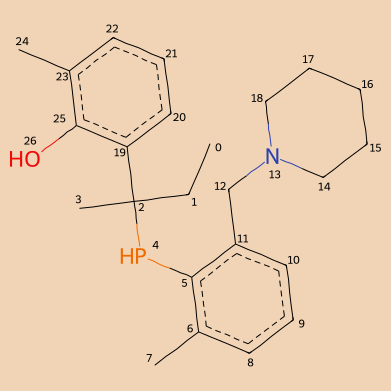 CCC(C)(Pc1c(C)cccc1CN1CCCCC1)c1cccc(C)c1O